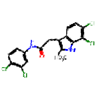 O=C(Cc1c(C(=O)O)[nH]c2c(Cl)c(Cl)ccc12)Nc1ccc(Cl)c(Cl)c1